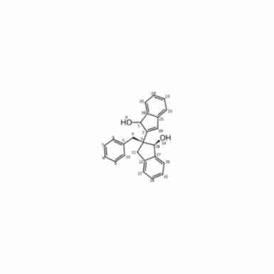 OC1C([C@@]2(Cc3ccccc3)Cc3ccccc3[C@@H]2O)=Cc2ccccc21